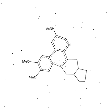 COc1cc2c3c(c4ncc(NC(C)=O)cc4c2cc1OC)CC1CCCC1C3